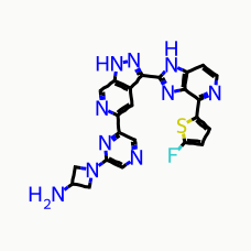 NC1CN(c2cncc(-c3cc4c(-c5nc6c(-c7ccc(F)s7)nccc6[nH]5)n[nH]c4cn3)n2)C1